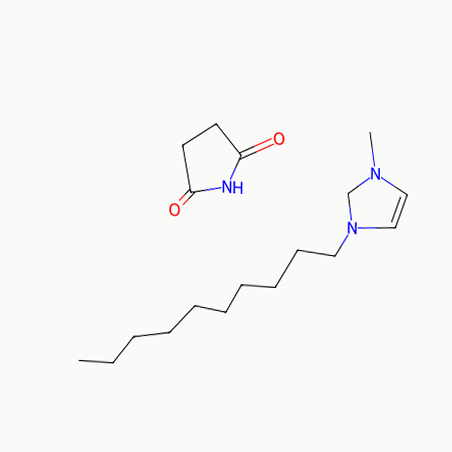 CCCCCCCCCCN1C=CN(C)C1.O=C1CCC(=O)N1